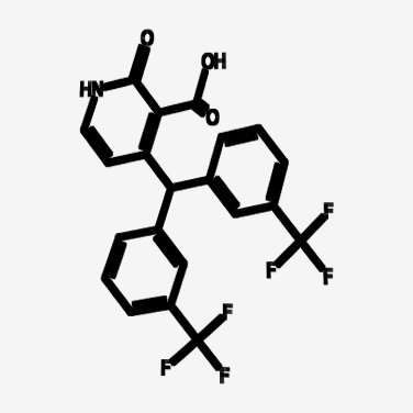 O=C(O)c1c(C(c2cccc(C(F)(F)F)c2)c2cccc(C(F)(F)F)c2)cc[nH]c1=O